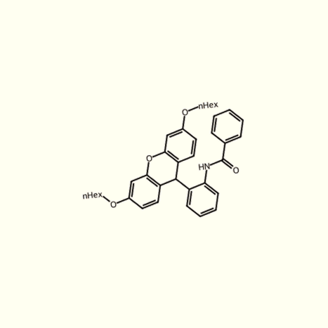 CCCCCCOc1ccc2c(c1)Oc1cc(OCCCCCC)ccc1C2c1ccccc1NC(=O)c1ccccc1